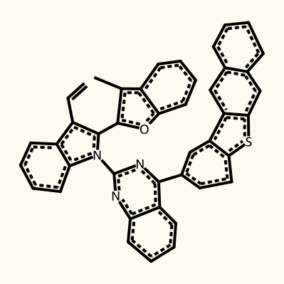 C=Cc1c(-c2oc3ccccc3c2C)n(-c2nc(-c3ccc4sc5cc6ccccc6cc5c4c3)c3ccccc3n2)c2ccccc12